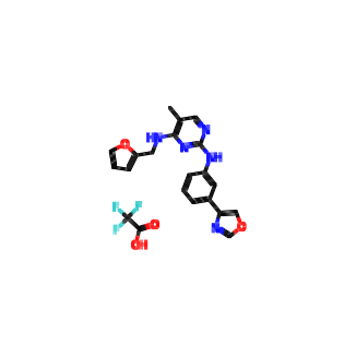 Cc1cnc(Nc2cccc(-c3cocn3)c2)nc1NCc1ccco1.O=C(O)C(F)(F)F